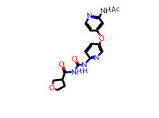 CC(=O)Nc1cc(Oc2ccc(NC(=O)NC(=O)C3CCOC3)nc2)ccn1